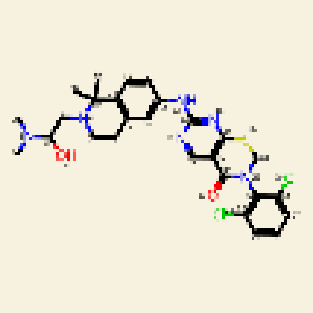 CN(C)C(O)CN1CCc2cc(Nc3ncc4c(n3)SCN(c3c(Cl)cccc3Cl)C4=O)ccc2C1(C)C